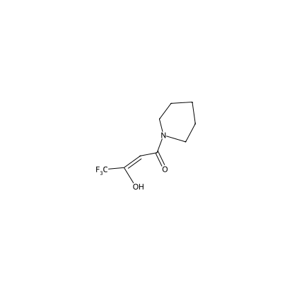 O=C(/C=C(\O)C(F)(F)F)N1CCCCC1